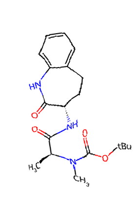 C[C@@H](C(=O)N[C@H]1CCc2ccccc2NC1=O)N(C)C(=O)OC(C)(C)C